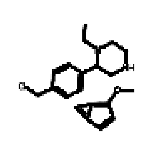 CCN1CCNCC1c1ccc(CCl)cc1.COc1ccc2cc1-2